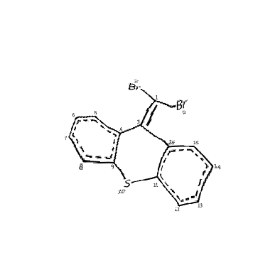 BrC(Br)=C1c2ccccc2Sc2ccccc21